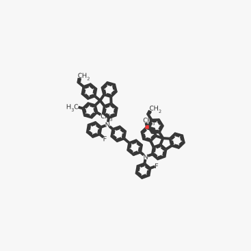 C=Cc1ccc(C2(c3cc(C)ccc3C)c3ccccc3-c3ccc(N(c4ccc(-c5ccc(N(c6ccccc6F)c6ccc7c8c6-c6ccc(C)cc6C8(c6ccc(C=C)cc6)c6ccccc6-7)cc5)cc4)c4ccccc4F)cc32)cc1